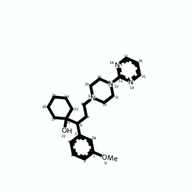 COc1cccc(C(CCN2CCN(c3ncccn3)CC2)C2(O)CCCCC2)c1